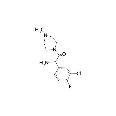 CN1CCN(C(=O)C(N)c2ccc(F)c(Cl)c2)CC1